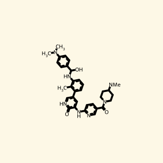 CNC1CCN(C(=O)c2ccc(Nc3cc(-c4cccc(NC(O)c5ccc(N(C)C)cc5)c4C)c[nH]c3=O)nc2)CC1